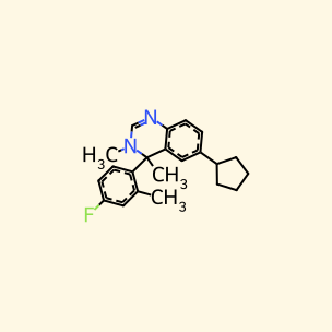 Cc1cc(F)ccc1C1(C)c2cc(C3CCCC3)ccc2N=CN1C